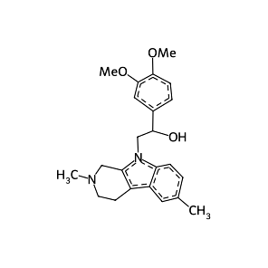 COc1ccc(C(O)Cn2c3c(c4cc(C)ccc42)CCN(C)C3)cc1OC